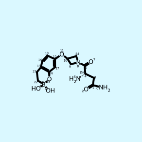 NC(=O)C[C@H](N)C(=O)N1CC(Oc2ccc3c(c2)O[B-](O)(O)CC3)C1